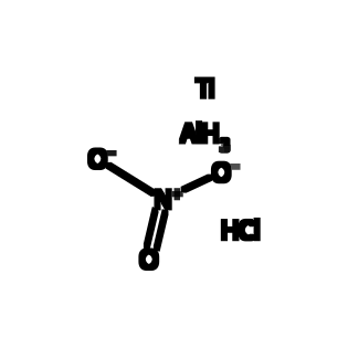 Cl.O=[N+]([O-])[O-].[AlH3].[Ti]